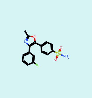 Cc1nc(-c2cccc(F)c2)c(-c2ccc(S(N)(=O)=O)cc2)o1